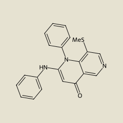 CSc1cncc2c(=O)cc(Nc3ccccc3)n(-c3ccccc3)c12